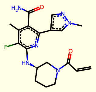 C=CC(=O)N1CCC[C@@H](Nc2nc(-c3cnn(C)c3)c(C(N)=O)c(C)c2F)C1